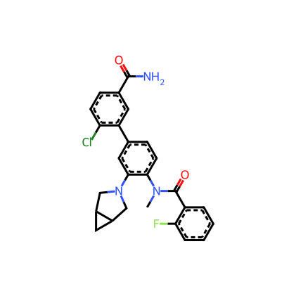 CN(C(=O)c1ccccc1F)c1ccc(-c2cc(C(N)=O)ccc2Cl)cc1N1CC2CC2C1